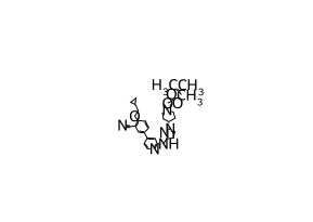 CC(C)(C)OC(=O)ON1CCC(n2ccc(Nc3cc(-c4ccc(OCC5CC5)c(C#N)c4)ccn3)n2)CC1